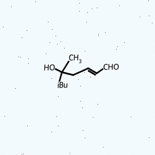 CCC(C)C(C)(O)CC=CC=O